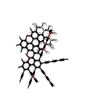 BBB(B)B(B(B)B)c1c(B(B(B)B)B(B)B)c(B(BB)B(B)B)c(C)c2c(-c3c4c(C)c(C)c(C)c(C)c4c(C)c4c(-c5c(C)c6c(C)c(C)c(C#CC)c(C#CC#C)c6c6c(C#CC#CC)c(C#CC#CC#C)c(C#CC#CC#CC)c(C#CC#CC#CC#C)c56)c(C)c(C)c(C)c34)c(C)c(C)c(B)c12